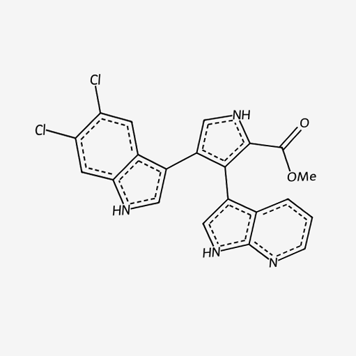 COC(=O)c1[nH]cc(-c2c[nH]c3cc(Cl)c(Cl)cc23)c1-c1c[nH]c2ncccc12